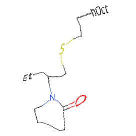 CCCCCCCCCCSCC(CC)N1CCCC1=O